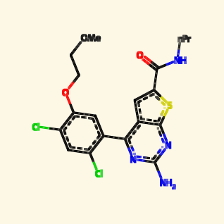 CCCNC(=O)c1cc2c(-c3cc(OCCOC)c(Cl)cc3Cl)nc(N)nc2s1